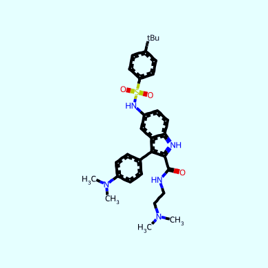 CN(C)CCNC(=O)c1[nH]c2ccc(NS(=O)(=O)c3ccc(C(C)(C)C)cc3)cc2c1-c1ccc(N(C)C)cc1